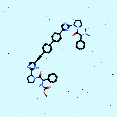 COC(=O)N[C@@H](C(=O)N1CCC[C@H]1c1ncc(C#Cc2ccc(-c3ccc(-c4cnc([C@@H]5CCCN5C(=O)[C@@H](c5ccccc5)N(C)C)[nH]4)cc3)cc2)[nH]1)c1ccccc1